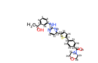 CC(O)c1cccc(Nc2nccc(-c3ccc(-c4ccc(C(=O)N5CCOCC5)cc4)s3)n2)c1